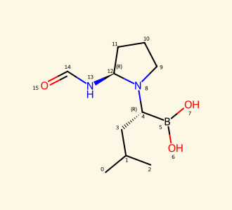 CC(C)C[C@@H](B(O)O)N1CCC[C@@H]1NC=O